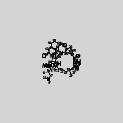 CO[C@@]1(CC(=O)[C@@H](C)CN(C)C)/C=C/C[C@H](C)[C@@H](C)S(=O)(=O)NC(=O)c2ccc3c(c2)N(C[C@@H]2CC[C@H]21)C[C@@]1(CCCc2cc(Cl)ccc21)CO3